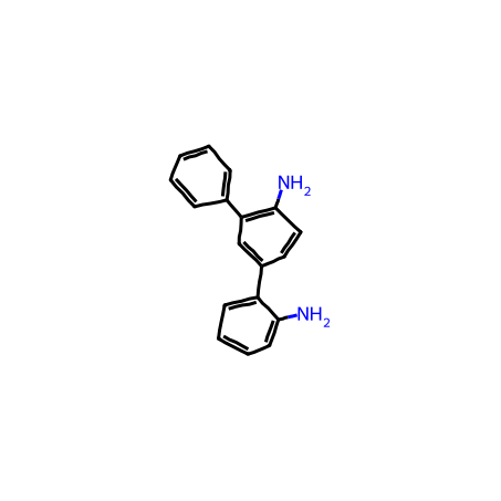 Nc1ccccc1-c1ccc(N)c(-c2ccccc2)c1